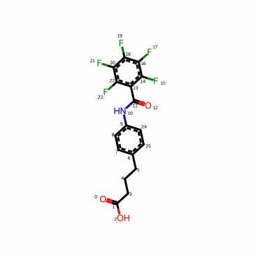 O=C(O)CCCc1ccc(NC(=O)c2c(F)c(F)c(F)c(F)c2F)cc1